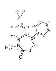 CN1C(=O)CN=C(c2ccccc2)c2cc(C3CC3)ccc21